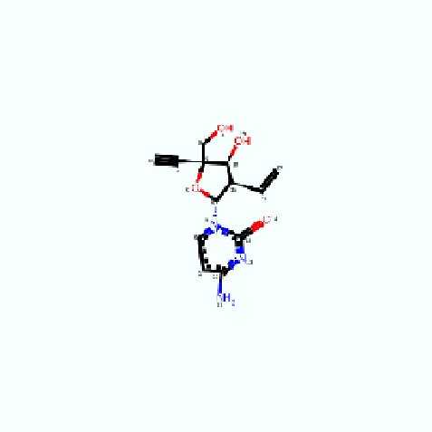 C#C[C@]1(CO)O[C@@H](n2ccc(N)nc2=O)[C@H](C=C)[C@@H]1O